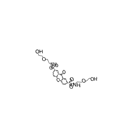 O=c1c2cc(S(=O)(=O)NCCOCCO)ccc2oc2ccc(S(=O)(=O)NCCOCCO)cc12